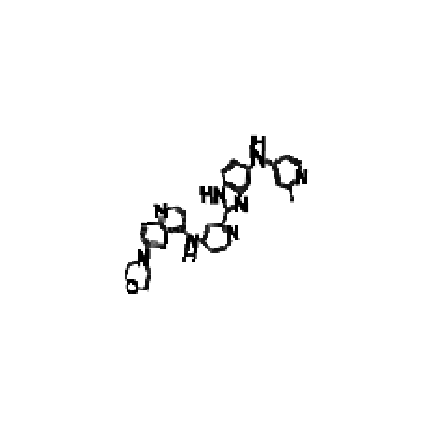 Cc1cc(Nc2ccc3[nH]c(-c4cc(Nc5ccnc6ccc(N7CCOCC7)cc56)ccn4)nc3c2)ccn1